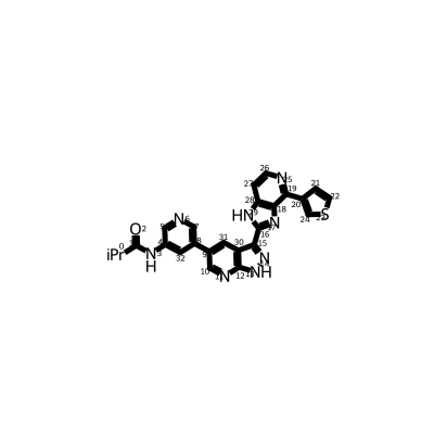 CC(C)C(=O)Nc1cncc(-c2cnc3[nH]nc(-c4nc5c(-c6ccsc6)nccc5[nH]4)c3c2)c1